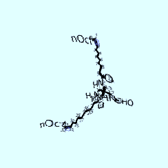 CCCCCCCC/C=C\CCCCCCCC(=O)NCC(CN)(CNC=O)CNC(=O)CCCCCCC/C=C\CCCCCCCC